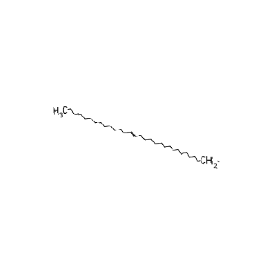 [CH2]CCCCCCCCCCCCCCC=CCCCCCCCCCCCCC